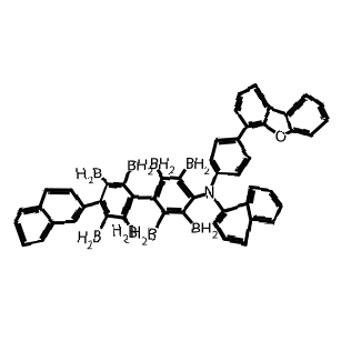 Bc1c(B)c(-c2c(B)c(B)c(N(c3ccc(-c4cccc5c4oc4ccccc45)cc3)c3cccc4ccccc34)c(B)c2B)c(B)c(B)c1-c1ccc2ccccc2c1